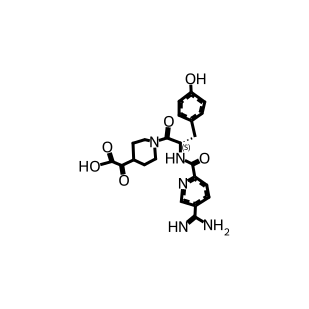 N=C(N)c1ccc(C(=O)N[C@@H](Cc2ccc(O)cc2)C(=O)N2CCC(C(=O)C(=O)O)CC2)nc1